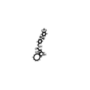 O=C(NCc1ccc(S(=O)(=O)c2ccc3c(c2)OCO3)cc1)c1cc2c([nH]1)C1(CCCCCCCCC1)CNC2